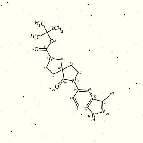 CC(C)(C)OC(=O)N1CCC2(CCN(c3ccc4[nH]nc(I)c4c3)C2=O)C1